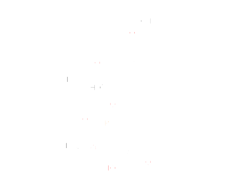 COc1ccc(/C=C(/C(=O)O)P(=O)(OC)OC)cc1OC